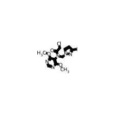 COc1ncnc(OC)c1N(Cn1ccc(I)n1)C(=O)CCl